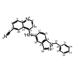 N#Cc1ccc2ncnc(Nc3ccc4c(cnn4Cc4ccccc4)c3)c2c1